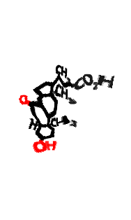 C[C@H](CCC(=O)O)C1CCC2C3C(=O)C[C@@H]4C[C@H](O)CC[C@]4(C)C3CC[C@@]21C